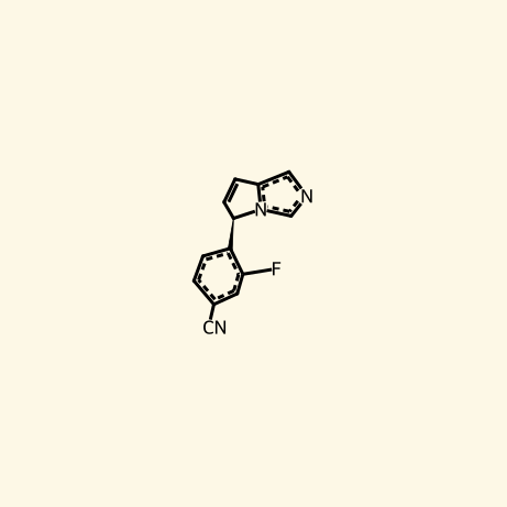 N#Cc1ccc([C@H]2C=Cc3cncn32)c(F)c1